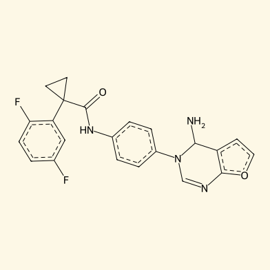 NC1c2ccoc2N=CN1c1ccc(NC(=O)C2(c3cc(F)ccc3F)CC2)cc1